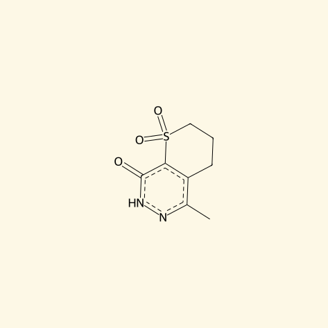 Cc1n[nH]c(=O)c2c1CCCS2(=O)=O